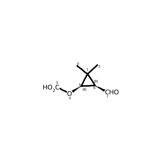 CC1(C)[C@H](OC(=O)O)[C@@H]1C=O